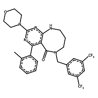 Cc1ccccc1-c1nc(N2CCOCC2)nc2c1C(=O)N(Cc1cc(C(F)(F)F)cc(C(F)(F)F)c1)CCCN2